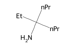 CCCC(N)(CC)CCC